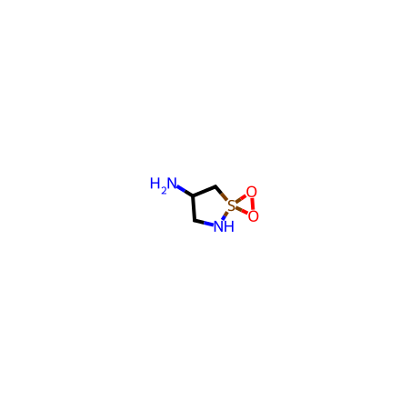 NC1CNS2(C1)OO2